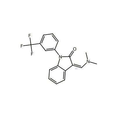 CN(C)/C=C1\C(=O)N(c2cccc(C(F)(F)F)c2)c2ccccc21